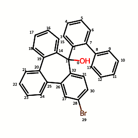 OC1(c2ccccc2-c2ccccc2)c2ccccc2-c2ccccc2-c2cc(Br)ccc21